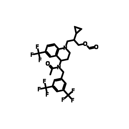 CC(=O)N(Cc1cc(C(F)(F)F)cc(C(F)(F)F)c1)C1CCN(CC(COC=O)C2CC2)c2ccc(C(F)(F)F)cc21